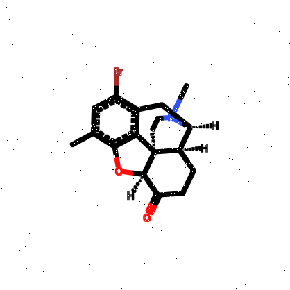 Cc1cc(Br)c2c3c1O[C@@H]1C(=O)CC[C@@H]4[C@H](C2)N(C)CC[C@@]314